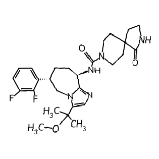 COC(C)(C)c1cnc2n1C[C@H](c1cccc(F)c1F)CC[C@H]2NC(=O)N1CCC2(CCNC2=O)CC1